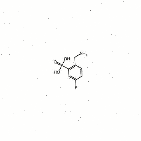 NCc1ccc(F)cc1P(=O)(O)O